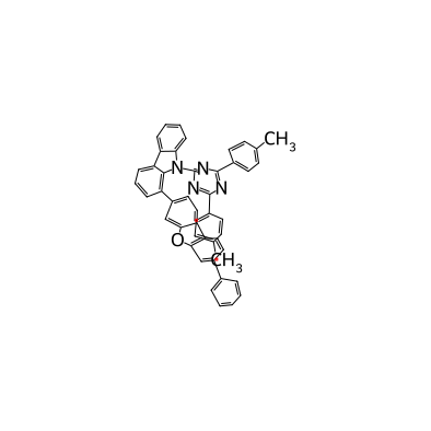 Cc1ccc(-c2nc(-c3ccc(C)cc3)nc(-n3c4ccccc4c4cccc(-c5ccc6c(c5)oc5cc(-c7ccccc7)ccc56)c43)n2)cc1